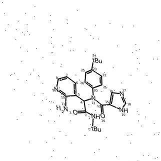 CC(C)(C)NC(=O)C(c1cccnc1N)N(C(=O)c1cnc[nH]1)c1ccc(C(C)(C)C)cc1